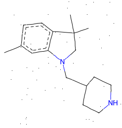 Cc1ccc2c(c1)N(CC1CCNCC1)CC2(C)C